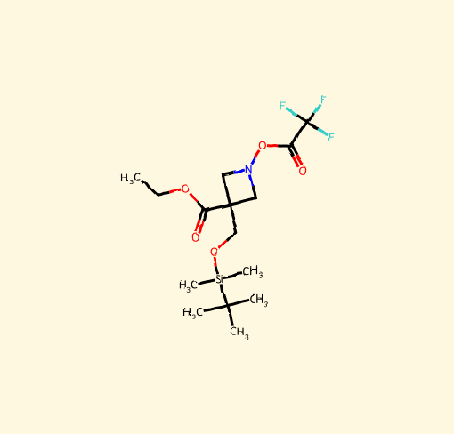 CCOC(=O)C1(CO[Si](C)(C)C(C)(C)C)CN(OC(=O)C(F)(F)F)C1